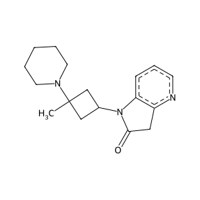 CC1(N2CCCCC2)CC(N2C(=O)Cc3ncccc32)C1